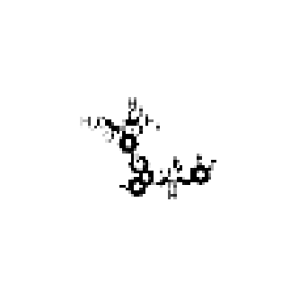 C=CC(=O)N1CC(C)(C)Oc2cc(N3CCC4(CC3)C[C@@H](CC(=O)N[C@@H](C#N)Cc3ccc(F)c(F)c3)c3ccc(F)cc34)ccc21